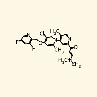 CC1=CC(OCc2ncc(F)cc2F)=C(Cl)CN1c1cc(C(=O)/C=C/N(C)C)ncc1C